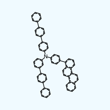 c1ccc(-c2ccc(-c3ccc(N(c4ccc(-c5cccc6c5ccc5c7ccccc7ccc65)cc4)c4cccc(-c5ccc(-c6ccccc6)cc5)c4)cc3)cc2)cc1